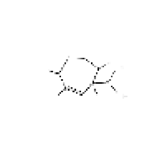 CC1=C[C@@](P)(C(C)S)C(C)CCC1C